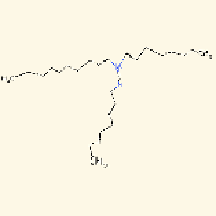 CCCCCCCCCC[N+](=C=NCCCCCCCC)CCCCCCCC